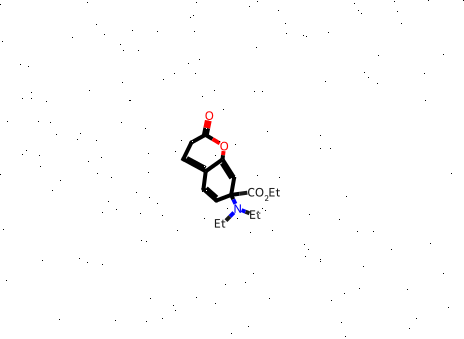 CCOC(=O)C1(N(CC)CC)C=CC2=CCC(=O)OC2=C1